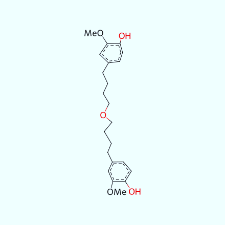 COc1cc(CCCCOCCCCc2ccc(O)c(OC)c2)ccc1O